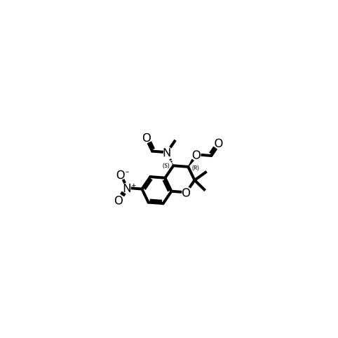 CN(C=O)[C@H]1c2cc([N+](=O)[O-])ccc2OC(C)(C)[C@@H]1OC=O